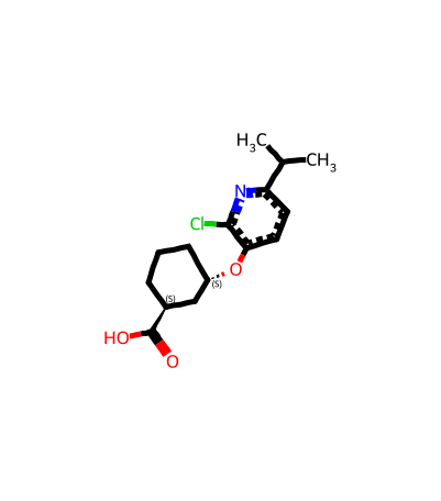 CC(C)c1ccc(O[C@H]2CCC[C@H](C(=O)O)C2)c(Cl)n1